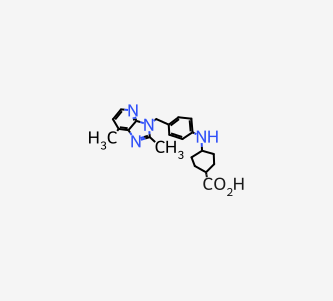 Cc1ccnc2c1nc(C)n2Cc1ccc(NC2CCC(C(=O)O)CC2)cc1